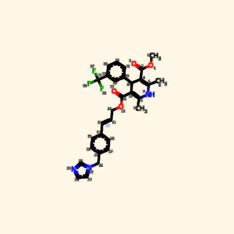 COC(=O)C1=C(C)NC(C)=C(C(=O)OC/C=C/c2ccc(Cn3ccnc3)cc2)C1c1cccc(C(F)(F)F)c1